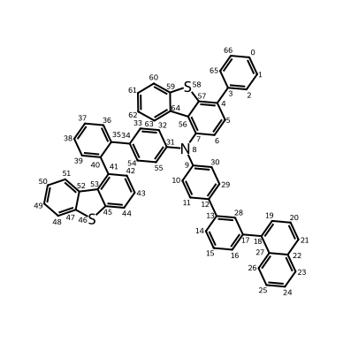 c1ccc(-c2ccc(N(c3ccc(-c4cccc(-c5cccc6ccccc56)c4)cc3)c3ccc(-c4ccccc4-c4cccc5sc6ccccc6c45)cc3)c3c2sc2ccccc23)cc1